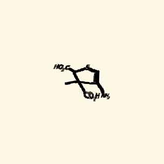 CC1(C(=O)O)C(N)=CSC1C(=O)O